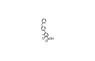 Cc1c(-c2ccc(Cc3ccccc3)cc2)ccn(C(=O)O)c1=O